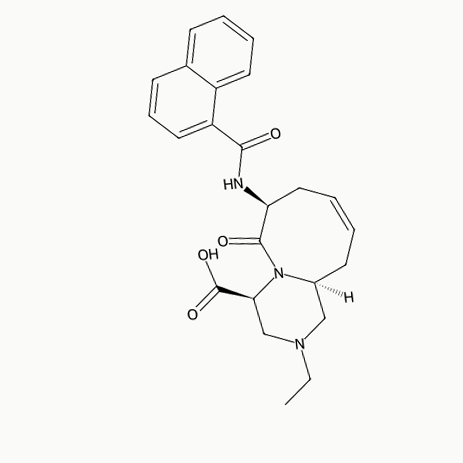 CCN1C[C@@H]2CC=CC[C@H](NC(=O)c3cccc4ccccc34)C(=O)N2[C@H](C(=O)O)C1